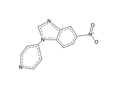 O=[N+]([O-])c1ccc2c(c1)ncn2-c1ccncc1